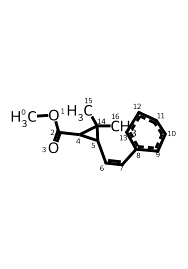 COC(=O)C1C(/C=C\c2ccccc2)C1(C)C